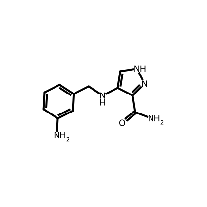 NC(=O)c1n[nH]cc1NCc1cccc(N)c1